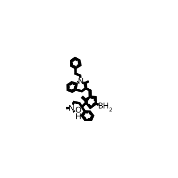 Bc1cc(C(O)(CCN(C)C)c2ccccc2)c(=C)/c(=C\C(Cc2ccccc2)=C(/C)N(C)CCc2ccccc2)c1